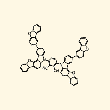 N#Cc1c(-n2c3ccc(-c4ccc5oc6ccccc6c5c4)cc3c3c4oc5ccccc5c4ccc32)ccc(-n2c3ccc(-c4ccc5oc6ccccc6c5c4)cc3c3c4oc5ccccc5c4ccc32)c1C#N